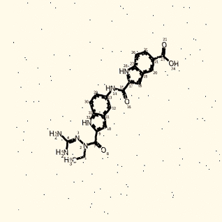 CCN(N=C(N)N)C(=O)c1cc2cc(NC(=O)c3cc4cc(C(=O)O)ccc4[nH]3)ccc2[nH]1